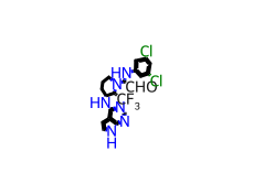 O=CC(Nc1cc(Cl)cc(Cl)c1)N1CCCC(Nc2ncnc3[nH]ccc23)C1C(F)(F)F